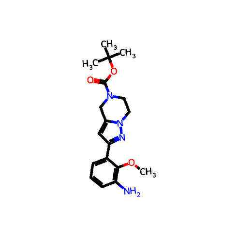 COc1c(N)cccc1-c1cc2n(n1)CCN(C(=O)OC(C)(C)C)C2